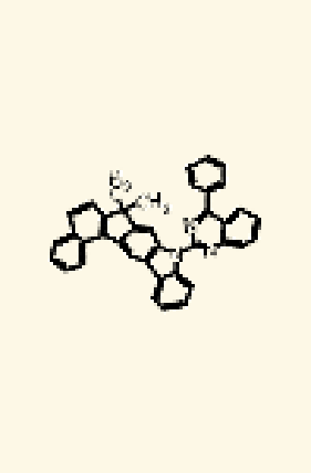 CC1(C)c2cc3c(cc2-c2c1ccc1ccccc21)c1ccccc1n3-c1nc(-c2ccccc2)c2ccccc2n1